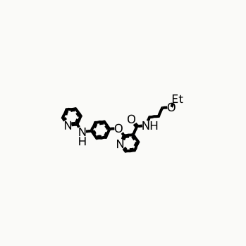 CCOCCCNC(=O)c1cccnc1Oc1ccc(Nc2ccccn2)cc1